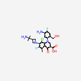 Cc1c(F)c(N2CC(C(C)(C)N)C2)c(Cl)c2c1c(=O)c(C(=O)O)cn2-c1cc(N)c(F)cc1CO